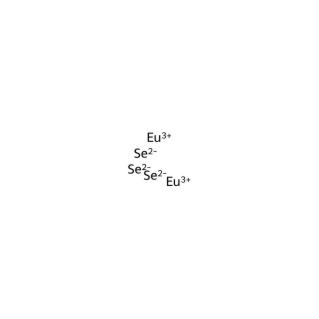 [Eu+3].[Eu+3].[Se-2].[Se-2].[Se-2]